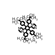 CC(C)(C)c1ccc(-c2c(-c3ccc(C(C)(C)C)cc3)c(-c3cnccn3)c(-c3ccc(C(C)(C)C)cc3)c(-c3ccc(C(C)(C)C)cc3)c2-c2cnccn2)cc1